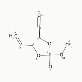 C#CCOP(=O)(OCC=C)OC(F)(F)F